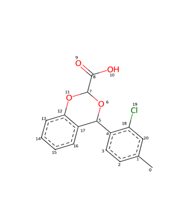 Cc1ccc(C2OC(C(=O)O)Oc3ccccc32)c(Cl)c1